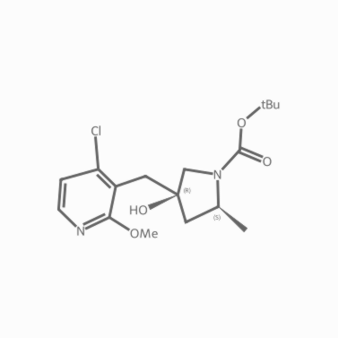 COc1nccc(Cl)c1C[C@@]1(O)C[C@H](C)N(C(=O)OC(C)(C)C)C1